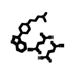 CN(C)CCCN1CCC(c2noc3ccccc23)CC1.O=C(O)/C=C/C(=O)O.O=C(O)/C=C/C(=O)O